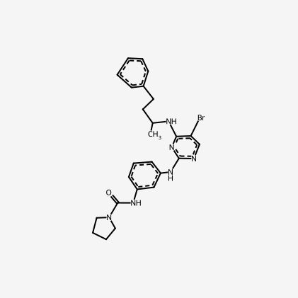 CC(CCc1ccccc1)Nc1nc(Nc2cccc(NC(=O)N3CCCC3)c2)ncc1Br